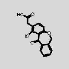 O=C(O)Cc1ccc2c(c1O)C(=O)c1ccccc1CO2